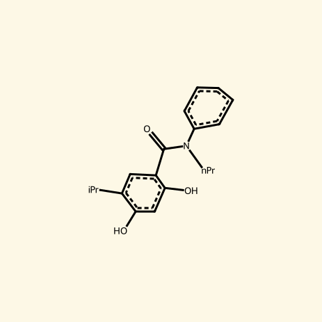 CCCN(C(=O)c1cc(C(C)C)c(O)cc1O)c1ccccc1